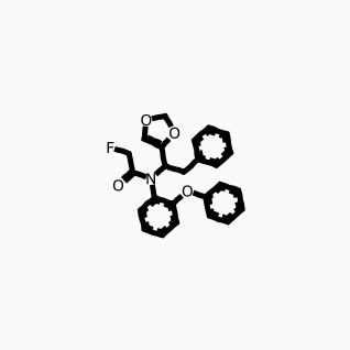 O=C(CF)N(c1ccccc1Oc1ccccc1)C(Cc1ccccc1)C1=COCO1